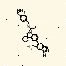 Cc1cc2[nH]ncc2cc1-c1ccc2c(c1)C1(CCCC1)CN2C(=O)NCc1ccc(SN)cc1